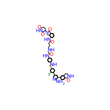 Nc1ncc(-c2ccc(SNc3ccc(NC(=O)CNCCCC(=O)Nc4cccc5c4CN(C4CCC(=O)NC4=O)C5=O)cc3)cc2F)cc1-c1ccc2c(c1)CCNC2=O